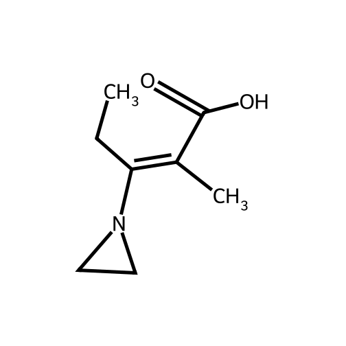 CC/C(=C(/C)C(=O)O)N1CC1